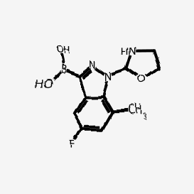 Cc1cc(F)cc2c(B(O)O)nn(C3NCCO3)c12